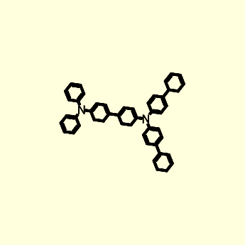 C1=CCC(c2ccc(N(C3=CC=C(C4=CC=C(N(c5ccccc5)c5ccccc5)CC4)CC3)c3ccc(C4=CCCC=C4)cc3)cc2)C=C1